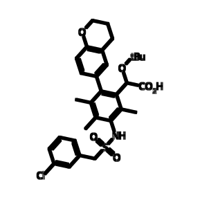 Cc1c(C)c(-c2ccc3c(c2)CCCO3)c(C(OC(C)(C)C)C(=O)O)c(C)c1NS(=O)(=O)Cc1cccc(Cl)c1